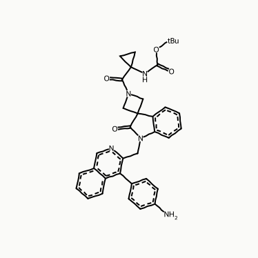 CC(C)(C)OC(=O)NC1(C(=O)N2CC3(C2)C(=O)N(Cc2ncc4ccccc4c2-c2ccc(N)cc2)c2ccccc23)CC1